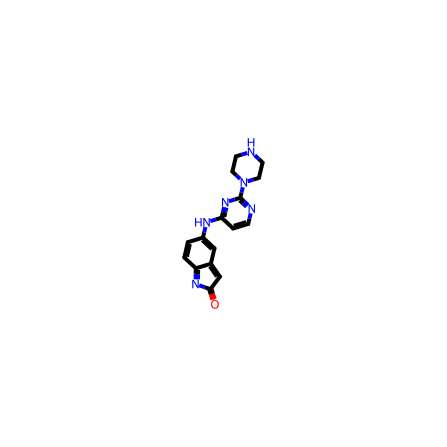 O=C1C=c2cc(Nc3ccnc(N4CCNCC4)n3)ccc2=N1